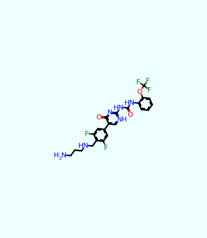 NCCCNCc1c(F)cc(-c2c[nH]c(NC(=O)Nc3ccccc3OC(F)(F)F)nc2=O)cc1F